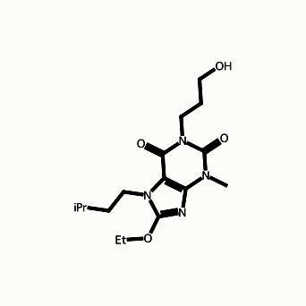 CCOc1nc2c(c(=O)n(CCCO)c(=O)n2C)n1CCC(C)C